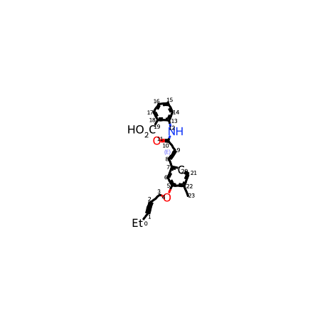 CCC#CCOc1cc(/C=C/C(=O)Nc2ccccc2C(=O)O)ccc1C